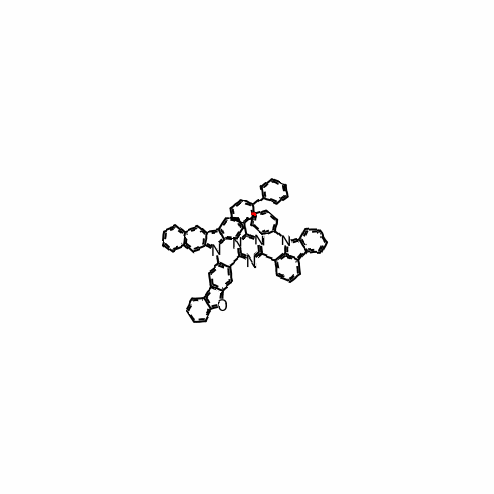 c1ccc(-c2cccc(-c3nc(-c4cc5oc6ccccc6c5cc4-n4c5ccccc5c5cc6ccccc6cc54)nc(-c4cccc5c6ccccc6n(-c6ccccc6)c45)n3)c2)cc1